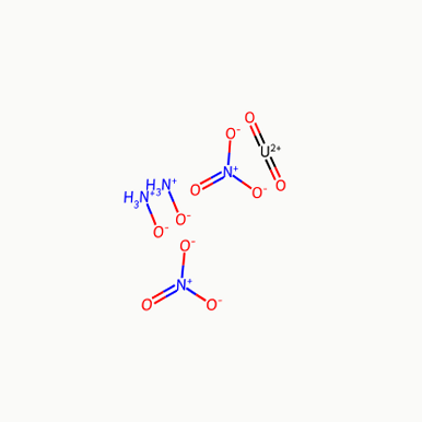 O=[N+]([O-])[O-].O=[N+]([O-])[O-].[NH3+][O-].[NH3+][O-].[O]=[U+2]=[O]